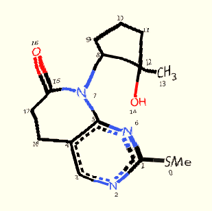 CSc1ncc2c(n1)N(C1CCCC1(C)O)C(=O)CC2